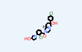 O=C(c1cccc(N2CC[C@@H](O)C2)c1Cl)N1CCN2C[C@@](O)(c3ccc(Cl)cc3)CC[C@@H]2C1